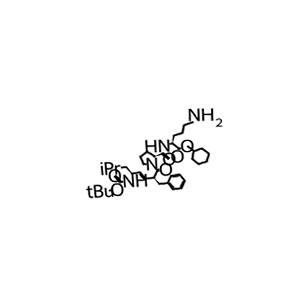 CC(C)C[C@@H](/C=C/[C@H](Cc1ccccc1)C(=O)N1CCC[C@H]1C(=O)N[C@@H](CCCCN)C(=O)OC1CCCCC1)NC(=O)OC(C)(C)C